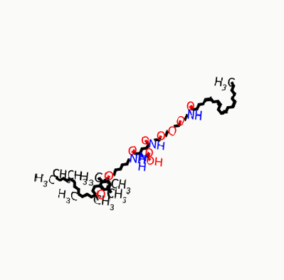 CCCCC/C=C\C/C=C\C/C=C\C/C=C\CCCC(=O)NCCOCCOCCOCCNC(=O)CCC(NC(=O)O)C(=O)NCCCCCCOc1c(C)c(C)c2c(c1C)CC[C@@](C)(CCCC(C)CCCC(C)CCCC(C)C)O2